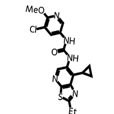 CCc1nc2c(C3CC3)c(NC(=O)Nc3cnc(OC)c(Cl)c3)cnc2s1